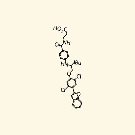 CCC(C)C(COc1cc(Cl)c(-c2cc3ccccc3o2)cc1Cl)Nc1ccc(C(=O)NCCC(=O)O)cc1